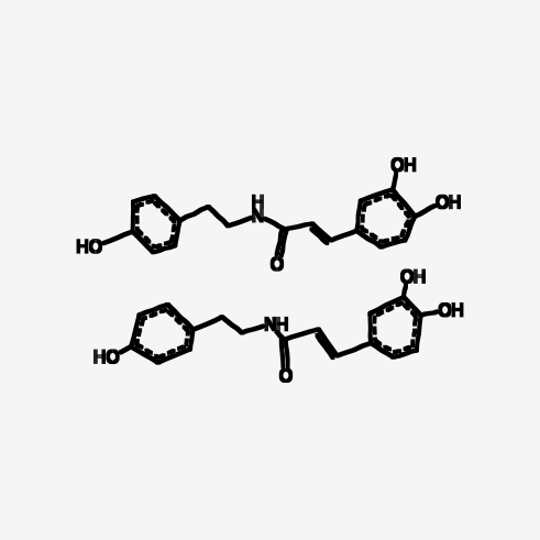 O=C(C=Cc1ccc(O)c(O)c1)NCCc1ccc(O)cc1.O=C(C=Cc1ccc(O)c(O)c1)NCCc1ccc(O)cc1